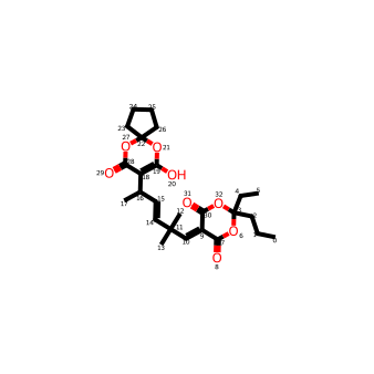 CCCC1(CC)OC(=O)C(=CC(C)(C)C=CC(C)C2=C(O)OC3(CCCC3)OC2=O)C(=O)O1